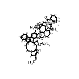 CCC1=C[C@@H]2CN(CCc3c([nH]c4ccccc34)[C@@](C(=O)OC)(c3cc4c(cc3OC)N(C)[C@H]3C(O)(CNC(=O)c5ccccc5)[C@H](OC(C)=O)[C@]5(CC)C=CCN6CC[C@]43C65)C2)C1